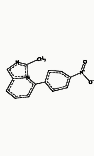 Cc1ncc2cccc(-c3ccc([N+](=O)[O-])cc3)n12